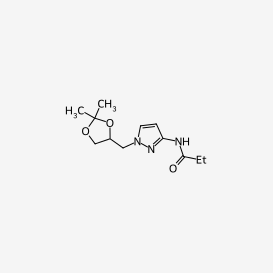 CCC(=O)Nc1ccn(CC2COC(C)(C)O2)n1